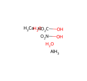 O.O.O=C(O)O.O=[N+]([O-])O.[AlH3].[CaH2]